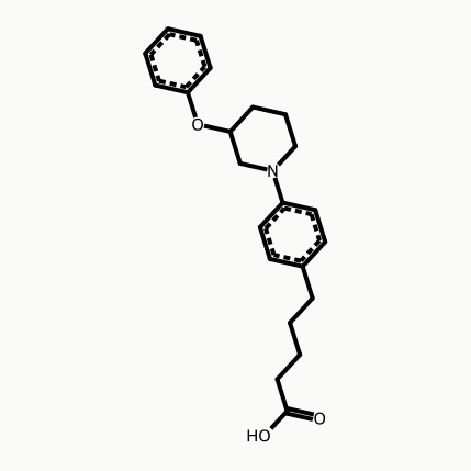 O=C(O)CCCCc1ccc(N2CCCC(Oc3ccccc3)C2)cc1